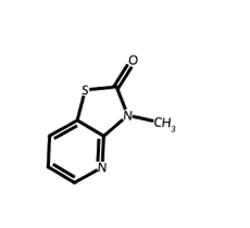 Cn1c(=O)sc2cccnc21